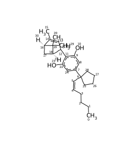 CCCC/C=C\C1(c2cc(O)c([C@@H]3C=C(C)[C@@H]4C[C@H]3C4(C)C)c(O)c2)CCCC1